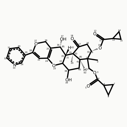 CC1(COC(=O)C2CC2)[C@@H](OC(=O)C2CC2)CC(=O)[C@]2(C)[C@@H]3C(OC4=C(COC(c5cccnc5)=C4)[C@@H]3O)C(O)C[C@H]12